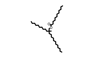 CCCCCCCCCCCCC(C)(CCCCCCCCCC)COC(=O)CCCCCCCCCCC